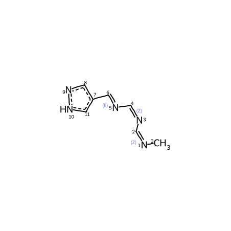 C\N=C/N=C\N=C\c1cn[nH]c1